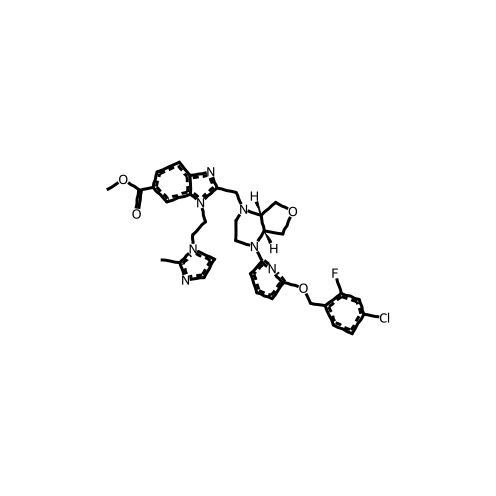 COC(=O)c1ccc2nc(CN3CCN(c4cccc(OCc5ccc(Cl)cc5F)n4)[C@H]4COC[C@H]43)n(CCn3ccnc3C)c2c1